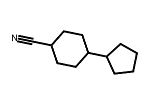 N#CC1CCC(C2CCCC2)CC1